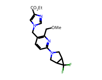 CCOC(=O)c1cn(Cc2ccc(N3CC4C(C3)C4(F)F)nc2COC)cn1